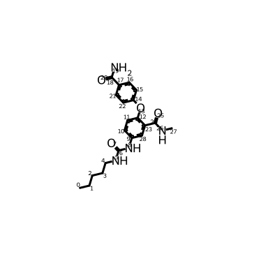 CCCCCNC(=O)Nc1ccc(Oc2ccc(C(N)=O)cc2)c(C(=O)NC)c1